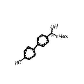 CCCCCC[C@H](O)c1ccc(-c2ccc(O)cc2)cc1